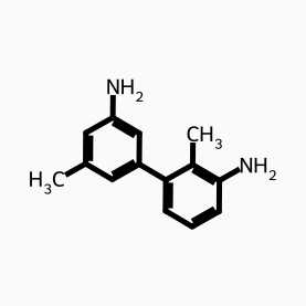 Cc1cc(N)cc(-c2cccc(N)c2C)c1